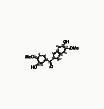 COc1ccc(C(=O)c2cc3cc(O)c(OC)cc3s2)cc1O